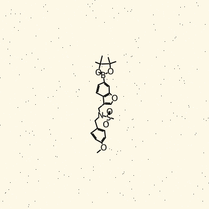 COc1ccc(CN(Cc2coc3cc(B4OC(C)(C)C(C)(C)O4)ccc23)S(C)(=O)=O)cc1